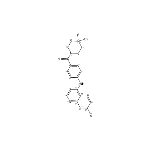 C[N+]1([O-])CCN(C(=O)c2ccc(Nc3ccnc4cc(Cl)ccc34)cc2)CC1